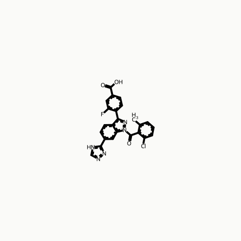 Cc1cccc(Cl)c1C(=O)n1nc(-c2ccc(C(=O)O)cc2F)c2ccc(-c3nnc[nH]3)cc21